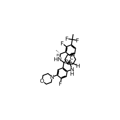 C[C@@H](NC(=O)c1cc(N2CCOCC2)c(F)cc1N[C@H]1CN2CCC1CC2)c1cccc(C(C)(F)F)c1F